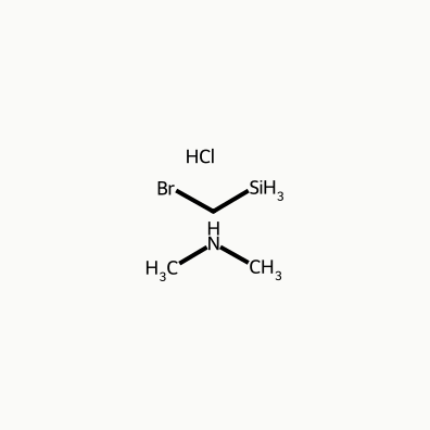 CNC.Cl.[SiH3]CBr